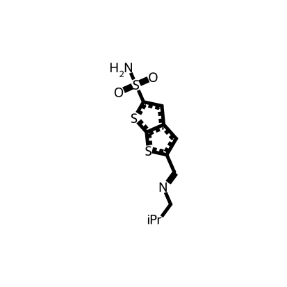 CC(C)CN=Cc1cc2cc(S(N)(=O)=O)sc2s1